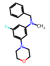 CN(Cc1ccccc1)c1cc(F)cc(N2CCOCC2)c1